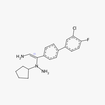 N/C=C(/c1ccc(-c2ccc(F)c(Cl)c2)cc1)N(N)C1CCCC1